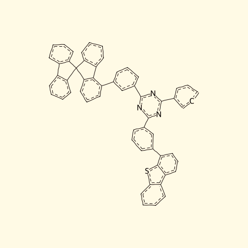 c1ccc(-c2nc(-c3cccc(-c4cccc5c4-c4ccccc4C54c5ccccc5-c5ccccc54)c3)nc(-c3cccc(-c4cccc5c4sc4ccccc45)c3)n2)cc1